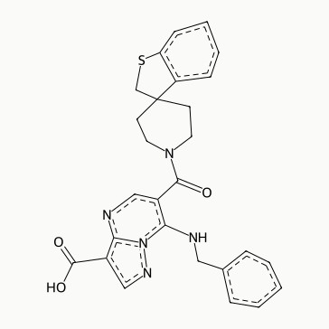 O=C(O)c1cnn2c(NCc3ccccc3)c(C(=O)N3CCC4(CC3)CSc3ccccc34)cnc12